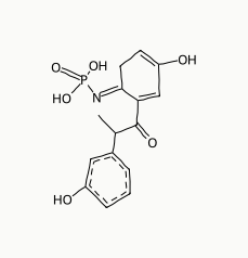 CC(C(=O)C1=CC(O)=CCC1=NP(=O)(O)O)c1cccc(O)c1